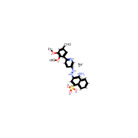 CCCCOc1c(OCC)cc(C=O)cc1-c1ccc(N=Nc2cc(S(=O)(=O)[O-])c3ccccc3c2N)cn1.[Na+]